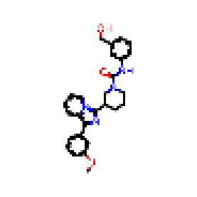 COc1cccc(-c2nc(C3CCCN(C(=O)Nc4cccc(CO)c4)C3)n3ccccc23)c1